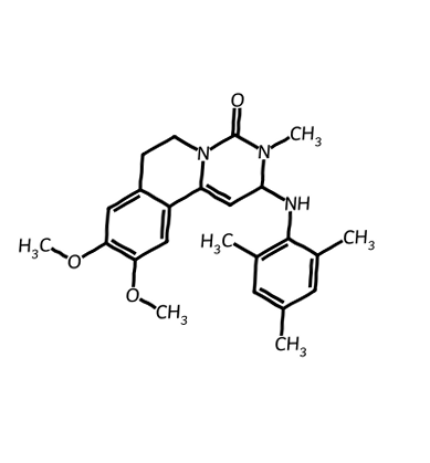 COc1cc2c(cc1OC)C1=CC(Nc3c(C)cc(C)cc3C)N(C)C(=O)N1CC2